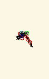 CCCCOCCOCCOc1cc(N2C(=O)C3=C(CCCC3)C2=O)c(F)cc1Cl